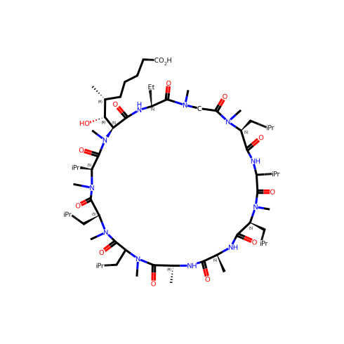 CC[C@@H]1NC(=O)[C@H]([C@H](O)[C@H](C)CCCCC(=O)O)N(C)C(=O)[C@H](C(C)C)N(C)C(=O)[C@H](CC(C)C)N(C)C(=O)C(CC(C)C)N(C)C(=O)[C@@H](C)NC(=O)[C@H](C)NC(=O)[C@H](CC(C)C)N(C)C(=O)C(C(C)C)NC(=O)[C@H](CC(C)C)N(C)C(=O)CN(C)C1=O